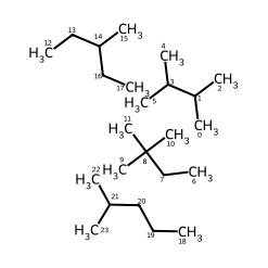 CC(C)C(C)C.CCC(C)(C)C.CCC(C)CC.CCCC(C)C